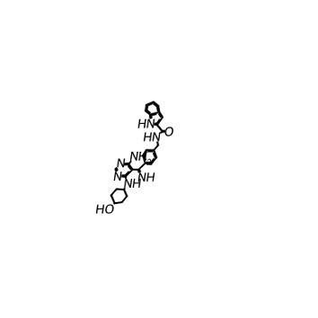 N=C(c1ccc(CNC(=O)c2cc3ccccc3[nH]2)cc1)c1c(N)ncnc1NC1CCC(O)CC1